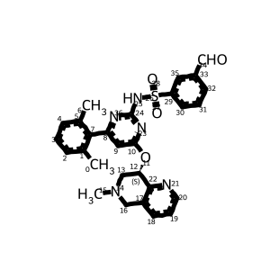 Cc1cccc(C)c1-c1cc(O[C@H]2CN(C)Cc3cccnc32)nc(NS(=O)(=O)c2cccc(C=O)c2)n1